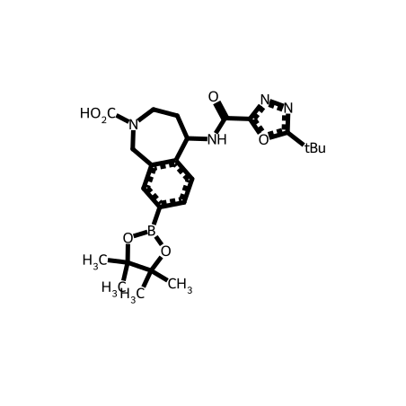 CC(C)(C)c1nnc(C(=O)NC2CCN(C(=O)O)Cc3cc(B4OC(C)(C)C(C)(C)O4)ccc32)o1